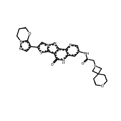 O=C(CN1CC2(CCOCC2)C1)Nc1cnc2c(c1)[nH]c(=O)c1c2nn2cc(-c3cnn4c3OCCC4)sc12